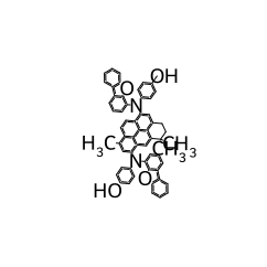 Cc1cc(N(c2ccc(O)cc2)c2cccc3c2oc2ccccc23)c2cc3c4c(cc(N(c5ccc(O)cc5)c5cccc6c5oc5ccccc56)c5ccc1c2c54)CCC3(C)C